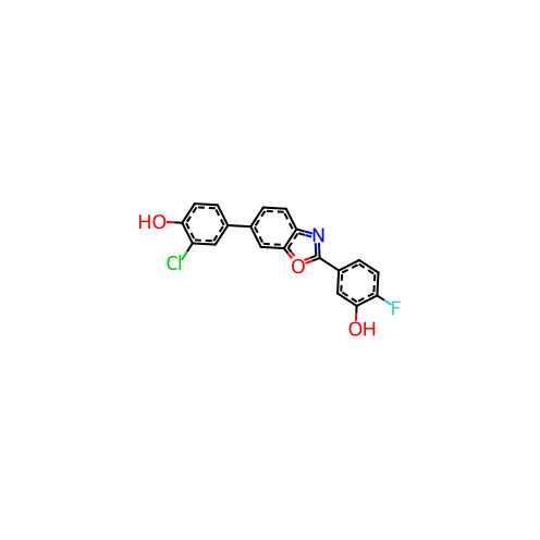 Oc1cc(-c2nc3ccc(-c4ccc(O)c(Cl)c4)cc3o2)ccc1F